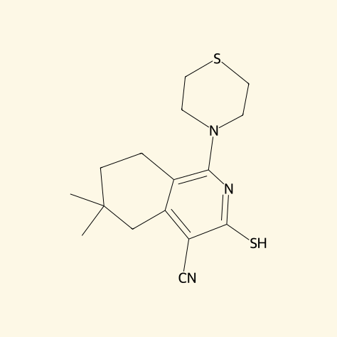 CC1(C)CCc2c(N3CCSCC3)nc(S)c(C#N)c2C1